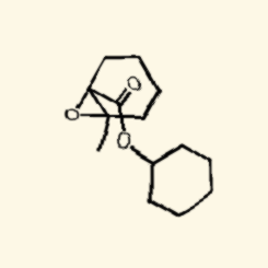 CC12CCCCC1(C(=O)OC1CCCCC1)O2